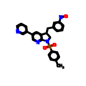 Cc1ccc(S(=O)(=O)N2CC(Cc3cccc(N=O)c3)c3cc(-c4cccnc4)cnc32)cc1